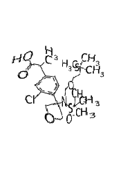 CC(C(=O)O)c1ccc(C2(N(COCC[Si](C)(C)C)[S+]([O-])C(C)(C)C)COC2)c(Cl)c1